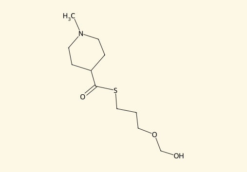 CN1CCC(C(=O)SCCCOCO)CC1